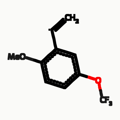 C=[C]c1cc(OC(F)(F)F)ccc1OC